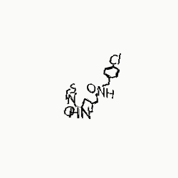 O=C(CC1CN[C@H](C(=O)N2CCSC2)C1)NCCc1ccc(Cl)cc1